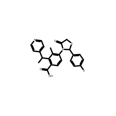 Cc1c(N2C(=O)CSC2c2ccc(F)cc2)ccc(C(=O)O)c1C(C)c1ccncc1